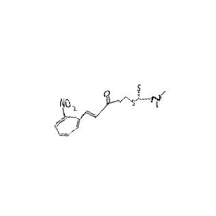 CN(C)C(=S)SCCC(=O)/C=C/c1ccccc1[N+](=O)[O-]